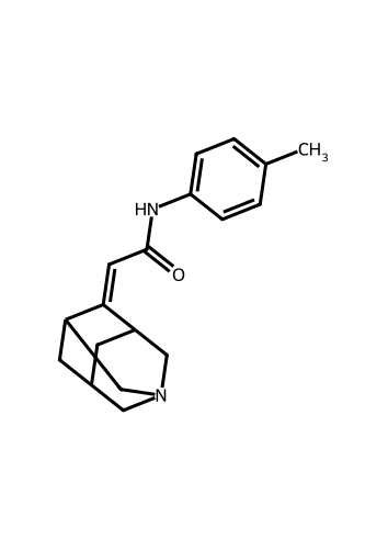 Cc1ccc(NC(=O)C=C2C3CC4CC2CN(C4)C3)cc1